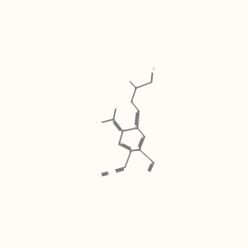 C=C=Cc1cc(=C(/C)N)/c(=C\CC(C)CC(C)C)cc1C=C